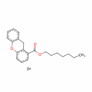 CCCCCCCOC(=O)c1cccc2c1Cc1ccccc1O2.[Zn]